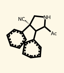 CC(=O)C1NC[C@](C#N)(c2ccccc2)C1c1ccccc1